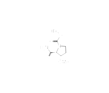 CO[C@H]1CCN(C(=O)OC(C)(C)C)[C@@H]1C(N)=S